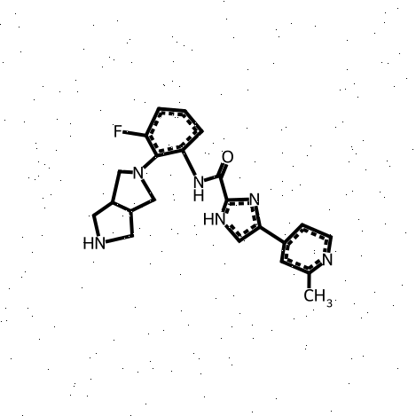 Cc1cc(-c2c[nH]c(C(=O)Nc3cccc(F)c3N3CC4CNCC4C3)n2)ccn1